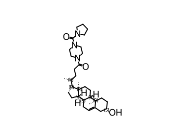 C[C@H](CCC(=O)N1CCN(C(=O)N2CCCC2)CC1)[C@H]1CC[C@H]2[C@@H]3CC=C4C[C@@H](O)CC[C@]4(C)[C@H]3CC[C@]12C